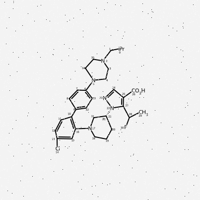 CC(C)CN1CCN(c2ccc(-c3ccc(Cl)cc3N3CCC[C@@H](n4ncc(C(=O)O)c4C(C)F)C3)cc2)CC1